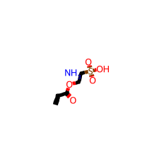 C=CC(=O)OCCS(=O)(=O)O.N